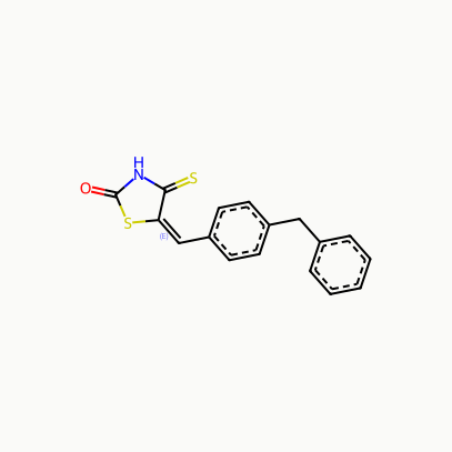 O=C1NC(=S)/C(=C\c2ccc(Cc3ccccc3)cc2)S1